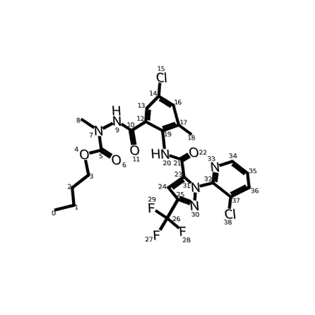 CCCCOC(=O)N(C)NC(=O)c1cc(Cl)cc(C)c1NC(=O)c1cc(C(F)(F)F)nn1-c1ncccc1Cl